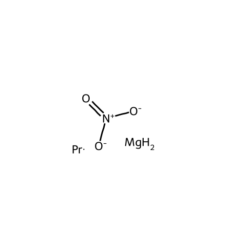 O=[N+]([O-])[O-].[MgH2].[Pr]